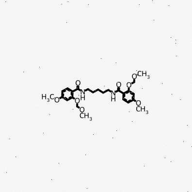 COCOc1cc(OC)ccc1C(=O)NCCCCCNC(=O)c1ccc(OC)cc1OCOC